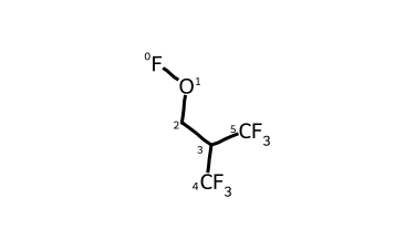 FOCC(C(F)(F)F)C(F)(F)F